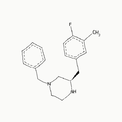 Cc1cc(C[C@@H]2CN(Cc3ccccc3)CCN2)ccc1F